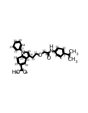 CC(C)c1ccc(NC(=O)COCCc2cn(-c3ccccc3)c3ccc(C(=O)O)cc23)cc1